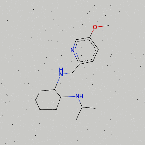 COc1ccc(CNC2CCCCC2NC(C)C)nc1